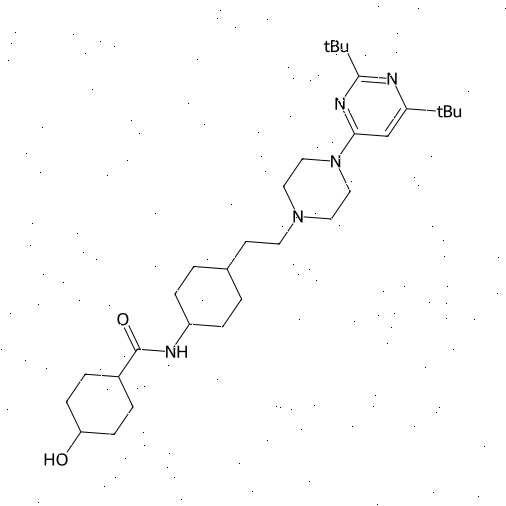 CC(C)(C)c1cc(N2CCN(CCC3CCC(NC(=O)C4CCC(O)CC4)CC3)CC2)nc(C(C)(C)C)n1